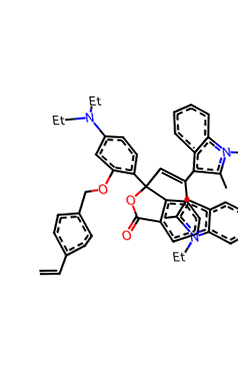 C=Cc1ccc(COc2cc(N(CC)CC)ccc2C2(C=C(c3c(C)n(CC)c4ccccc34)c3c(C)n(CC)c4ccccc34)OC(=O)c3ccccc32)cc1